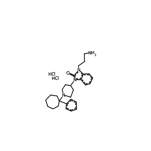 Cl.Cl.NCCCn1c(=O)n(C2CCN(C3(c4ccccc4)CCCCCC3)CC2)c2ccccc21